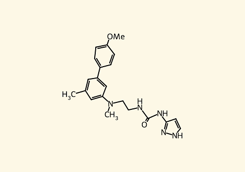 COc1ccc(-c2cc(C)cc(N(C)CCNC(=O)Nc3cc[nH]n3)c2)cc1